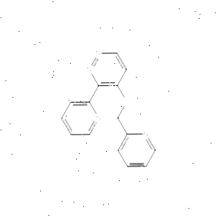 c1ccc(COc2ccnnc2-c2ccccn2)nc1